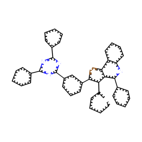 c1ccc(-c2nc(-c3ccccc3)nc(-c3cccc(-c4sc5c(c(-c6ccccc6)nc6ccccc65)c4-c4ccccc4)c3)n2)cc1